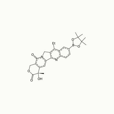 CCc1c2c(nc3ccc(B4OC(C)(C)C(C)(C)O4)cc13)-c1cc3c(c(=O)n1C2)COC(=O)[C@@]3(C)O